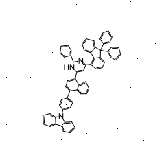 C1=C(c2ccc(-c3ccc(-n4c5ccccc5c5ccccc54)cc3)c3ccccc23)NC(c2ccccc2)N=C1c1cccc2c1-c1ccccc1C2(c1ccccc1)c1ccccc1